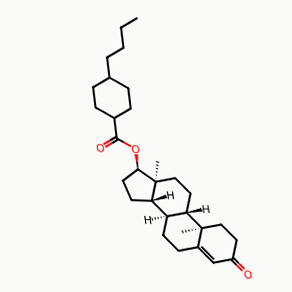 CCCCC1CCC(C(=O)O[C@@H]2CC[C@H]3[C@@H]4CCC5=CC(=O)CC[C@]5(C)[C@H]4CC[C@]23C)CC1